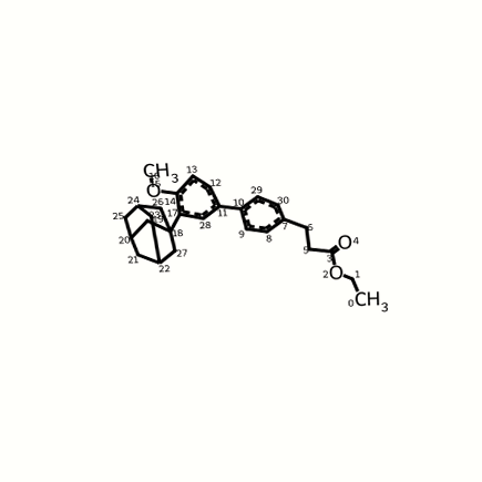 CCOC(=O)CCc1ccc(-c2ccc(OC)c(C34CC5CC(CC(C5)C3)C4)c2)cc1